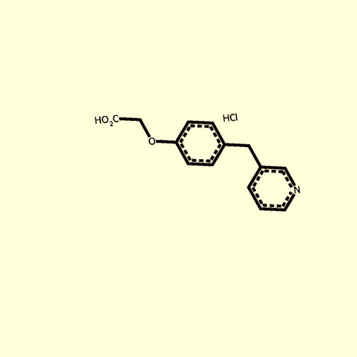 Cl.O=C(O)COc1ccc(Cc2cccnc2)cc1